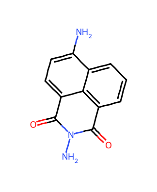 Nc1ccc2c3c(cccc13)C(=O)N(N)C2=O